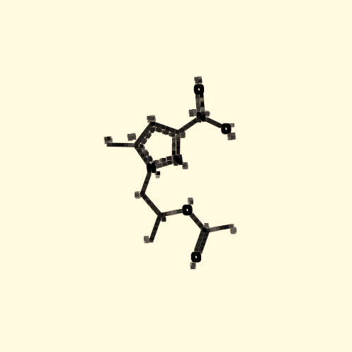 CC(=O)OC(C)Cn1nc([N+](=O)[O-])cc1C